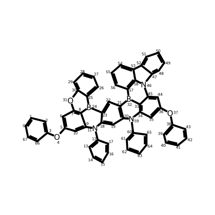 c1ccc(Oc2cc3c4c(c2)N(c2ccccc2)c2cc5c(cc2B4c2ccccc2O3)B2c3c(cc(Oc4ccccc4)cc3-n3c4ccccc4c4cccc2c43)N5c2ccccc2)cc1